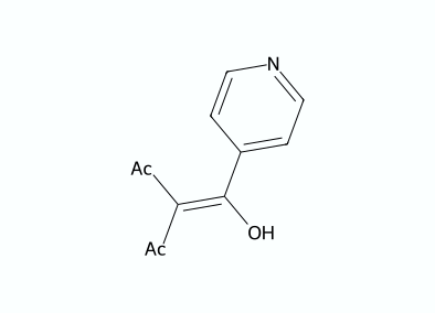 CC(=O)C(C(C)=O)=C(O)c1ccncc1